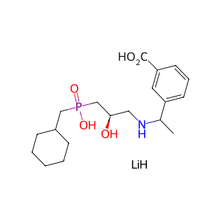 CC(NC[C@@H](O)CP(=O)(O)CC1CCCCC1)c1cccc(C(=O)O)c1.[LiH]